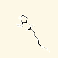 C=CCCCC(=O)N[C@H]1CCOC1O